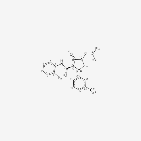 O=C(Nc1ccccc1F)[C@H]1C(=O)N(CC(F)F)C[C@@H]1c1cccc(C(F)(F)F)c1